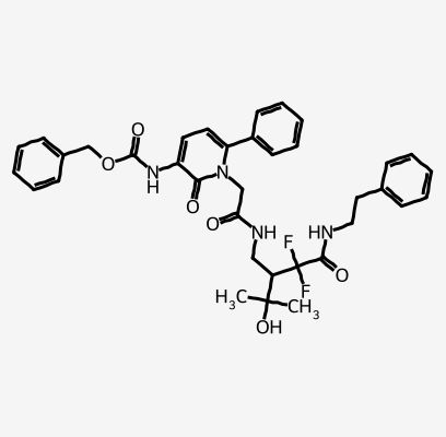 CC(C)(O)C(CNC(=O)Cn1c(-c2ccccc2)ccc(NC(=O)OCc2ccccc2)c1=O)C(F)(F)C(=O)NCCc1ccccc1